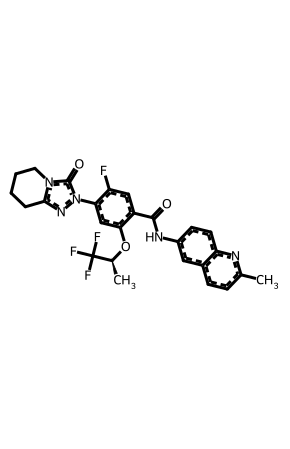 Cc1ccc2cc(NC(=O)c3cc(F)c(-n4nc5n(c4=O)CCCC5)cc3O[C@@H](C)C(F)(F)F)ccc2n1